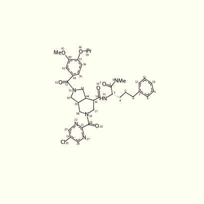 CNC(=O)[C@H](CCCc1ccccc1)NC(=O)C1CN(C(=O)c2ncc(Cl)cn2)CC2CN(C(=O)c3ccc(OC(C)C)c(OC)c3)CC21